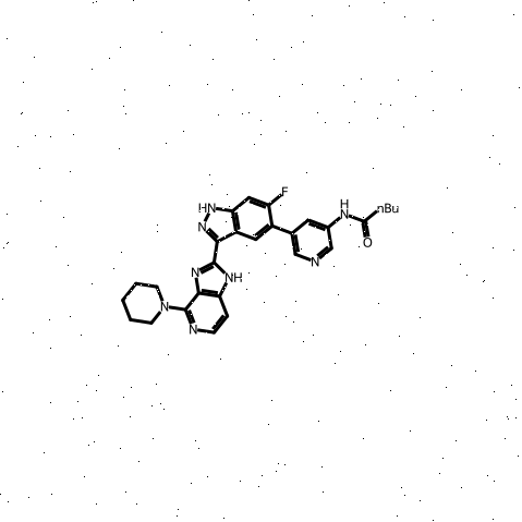 CCCCC(=O)Nc1cncc(-c2cc3c(-c4nc5c(N6CCCCC6)nccc5[nH]4)n[nH]c3cc2F)c1